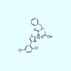 O=C(O)C[C@@H](Cc1ccccc1)C(=O)Nc1nc(-c2cc(Cl)ccc2Cl)cs1